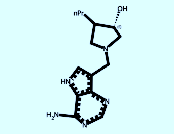 CCCC1CN(Cc2c[nH]c3c(N)ncnc23)C[C@H]1O